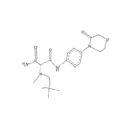 CN(CC(C)(C)C)[C@H](C(N)=O)C(=O)Nc1ccc(N2CCOCC2=O)cc1